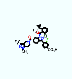 Cn1nc(C(F)(F)F)c2c1CCN(C(=O)[C@H]1CCc3c(-c4ccc(C(=O)O)cc4F)nn(C(=O)c4c(Cl)cccc4C4(C(F)(F)F)CC4)c3C1)C2